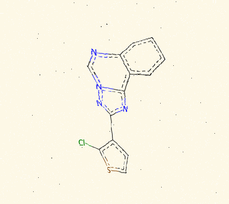 Clc1sccc1-c1nc2c3ccccc3ncn2n1